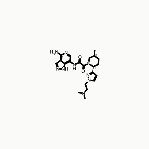 C[C@H]1CC[C@H](c2ccn(CCN(C)C)n2)N(C(=O)C(=O)Nc2cnc(N)c3cn[nH]c23)C1